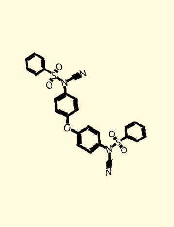 N#CN(c1ccc(Oc2ccc(N(C#N)S(=O)(=O)c3ccccc3)cc2)cc1)S(=O)(=O)c1ccccc1